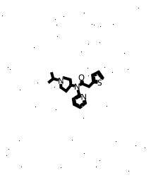 CC(C)N1CCC(N(C(=O)Cc2cccs2)c2ccccn2)CC1